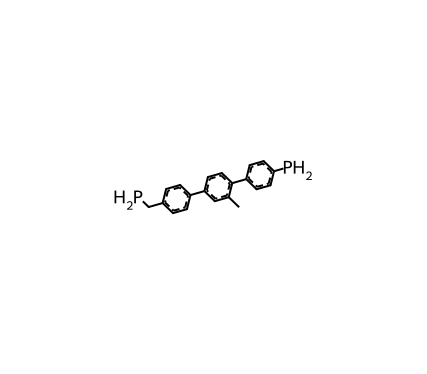 Cc1cc(-c2ccc(CP)cc2)ccc1-c1ccc(P)cc1